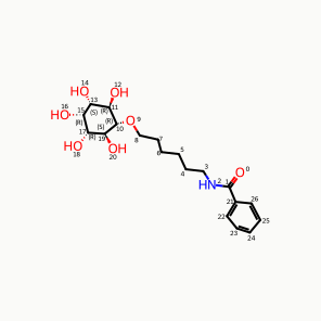 O=C(NCCCCCCO[C@H]1[C@H](O)[C@@H](O)[C@@H](O)[C@@H](O)[C@@H]1O)c1ccccc1